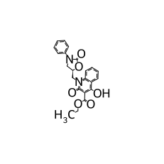 CCOC(=O)c1c(O)c2ccccc2n(C[C@H]2CN(c3ccccc3)C(=O)O2)c1=O